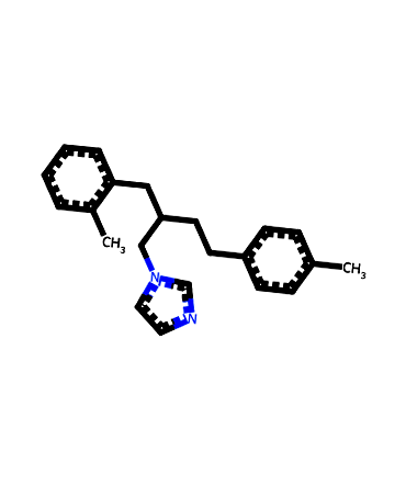 Cc1ccc(CCC(Cc2ccccc2C)Cn2ccnc2)cc1